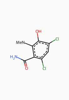 CNc1c(O)c(Cl)cc(Cl)c1C(N)=O